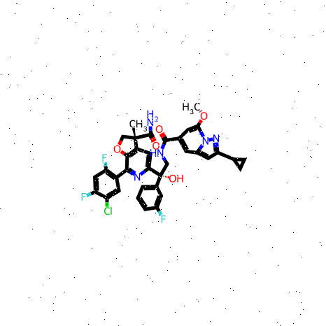 COc1cc(C(=O)NC[C@@](O)(c2cccc(F)c2)c2cc3c(c(-c4cc(Cl)c(F)cc4F)n2)OC[C@]3(C)C(N)=O)cc2cc(C3CC3)nn12